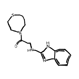 O=C(CNc1nc2ccccc2[nH]1)N1CCSCC1